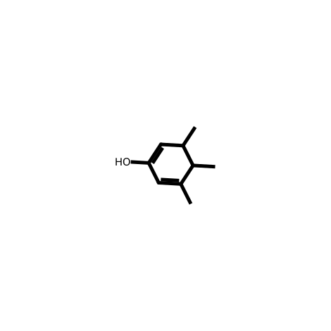 CC1=CC(O)=CC(C)C1C